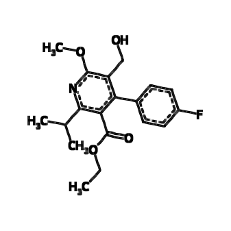 CCOC(=O)c1c(C(C)C)nc(OC)c(CO)c1-c1ccc(F)cc1